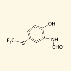 O=[C]Nc1cc(SC(F)(F)F)ccc1O